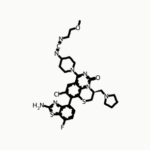 COCCN=C=NC1CCN(c2nc(=O)n3c4c(c(-c5ccc(F)c6sc(N)nc56)c(Cl)cc24)SC[C@@H]3CN2CCCC2)CC1